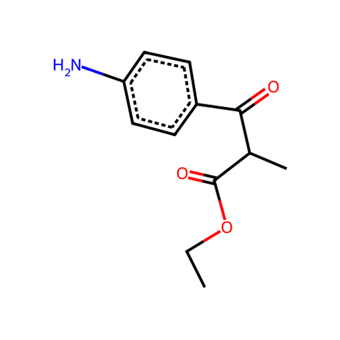 CCOC(=O)C(C)C(=O)c1ccc(N)cc1